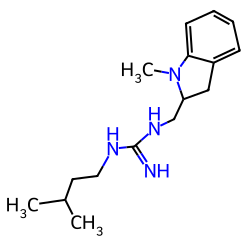 CC(C)CCNC(=N)NCC1Cc2ccccc2N1C